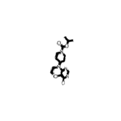 CC(C)OC(=O)N1CCC(N2CCOc3c(Cl)ncnc32)CC1